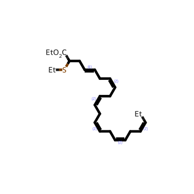 CC/C=C\C/C=C\C/C=C\C/C=C\C/C=C\C/C=C/CC(SCC)C(=O)OCC